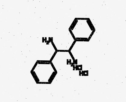 Cl.Cl.NC(c1ccccc1)C(N)c1ccccc1